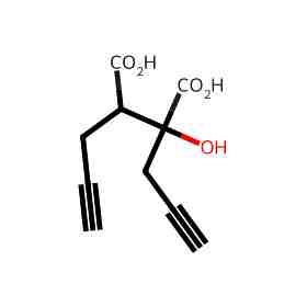 C#CCC(C(=O)O)C(O)(CC#C)C(=O)O